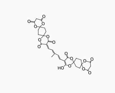 CC(/C=C/C1=C(O)OC2(CCC3(CC2)OC(=O)CC(=O)O3)OC1=O)=C\C=C1C(=O)OC2(CCC3(CC2)OC(=O)CC(=O)O3)OC1=O